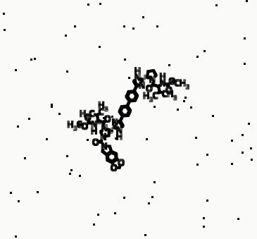 COC(=O)NC(C(=O)N1CCC[C@H]1c1nc(-c2ccc(-c3ccc(-c4c[nH]c([C@@H]5CN(C(=O)N6Cc7cc8c(cc7C6)OCO8)CN5C(=O)[C@@H](NC(=O)OC)C(C)C)n4)cc3)cc2)c[nH]1)C(C)C